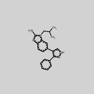 CC(C)Cn1c(N)nc2ccc(-c3c[nH]nc3-c3ccccc3)cc21